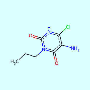 CCCn1c(=O)[nH]c(Cl)c(N)c1=O